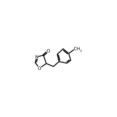 Cc1ccc(CC2OC=NC2=O)cc1